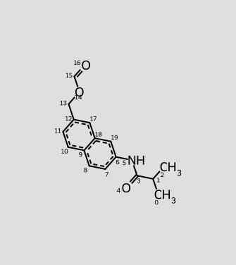 CC(C)C(=O)Nc1ccc2ccc(COC=O)cc2c1